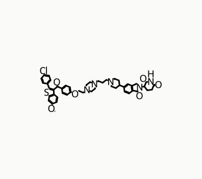 COc1ccc2c(C(=O)c3ccc(OCCN4CCN(CCCN5CCC(c6ccc7c(c6)CN(C6CCC(=O)NC6=O)C7=O)CC5)CC4)cc3)c(-c3ccc(Cl)cc3)sc2c1